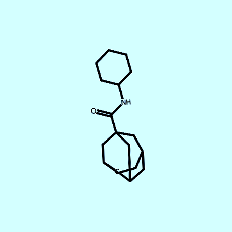 O=C(NC1CCCCC1)C12CC3CCC(CC(C3)C1)C2